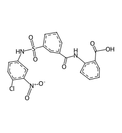 O=C(Nc1ccccc1C(=O)O)c1cccc(S(=O)(=O)Nc2ccc(Cl)c([N+](=O)[O-])c2)c1